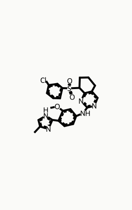 COc1cc(Nc2ncc3c(n2)C(S(=O)(=O)c2cccc(Cl)c2)CCC3)ccc1-c1nc(C)c[nH]1